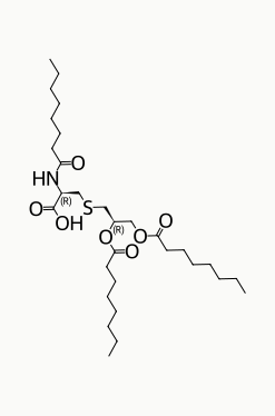 CCCCCCCC(=O)N[C@@H](CSC[C@@H](COC(=O)CCCCCCC)OC(=O)CCCCCCC)C(=O)O